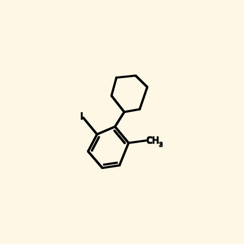 Cc1cccc(I)c1C1CCCCC1